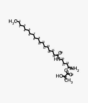 CCCCCCCCCCCCCCCCCC(=O)NCCCC(N)OC(=O)C(C)O